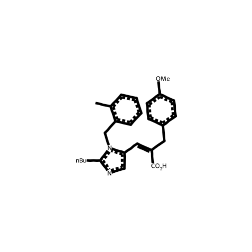 CCCCc1ncc(C=C(Cc2ccc(OC)cc2)C(=O)O)n1Cc1ccccc1C